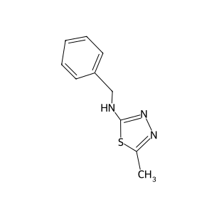 Cc1nnc(NCc2ccccc2)s1